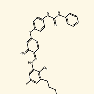 CCCCc1cc(C)cc(N/N=C2/C=CC(Sc3ccc(NC(=O)Nc4ccccc4)cc3)=CC2=N)c1O